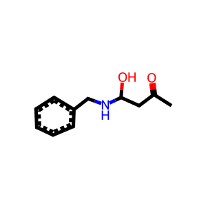 CC(=O)CC(O)NCc1ccccc1